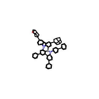 c1ccc(-c2ccc(N3B4c5c(cc(-c6ccccc6)cc5-n5c6ccc(C78CC9CC%10CC9(C7)C%10C8)cc6c6cc(C78CC9CC%10CC(C7)C%109C8)cc4c65)-c4cc(-c5ccccc5)ccc43)cc2)cc1